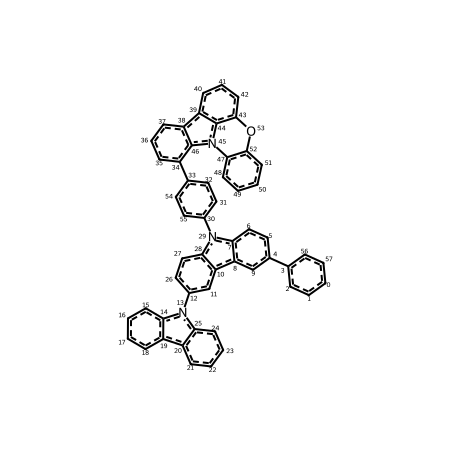 c1ccc(-c2ccc3c(c2)c2cc(-n4c5ccccc5c5ccccc54)ccc2n3-c2ccc(-c3cccc4c5cccc6c5n(c34)-c3ccccc3O6)cc2)cc1